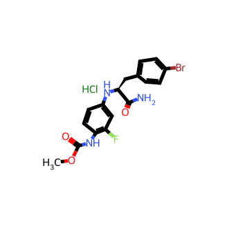 COC(=O)Nc1ccc(N[C@@H](Cc2ccc(Br)cc2)C(N)=O)cc1F.Cl